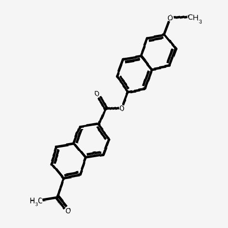 COc1ccc2cc(OC(=O)c3ccc4cc(C(C)=O)ccc4c3)ccc2c1